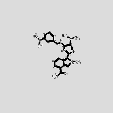 CN(C)c1cnc(-c2c3cccc(C(N)=O)c3cn2C)nc1NCc1cccc(B(O)O)c1